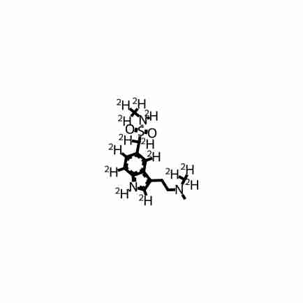 [2H]c1c(C([2H])([2H])S(=O)(=O)N([2H])C([2H])([2H])[2H])c([2H])c2c(CCN(C)C([2H])([2H])[2H])c([2H])n([2H])c2c1[2H]